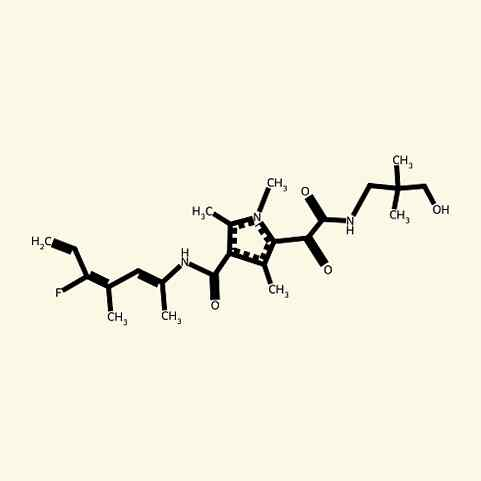 C=C/C(F)=C(C)\C=C(/C)NC(=O)c1c(C)c(C(=O)C(=O)NCC(C)(C)CO)n(C)c1C